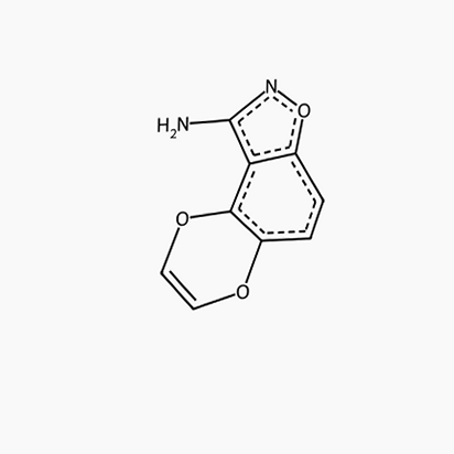 Nc1noc2ccc3c(c12)OC=CO3